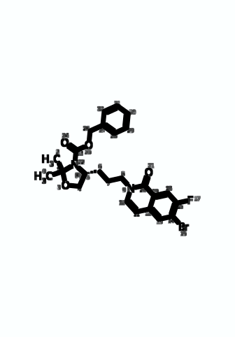 CC1(C)OC[C@@H](CCCn2ccc3cc(Br)c(F)cc3c2=O)N1C(=O)OCc1ccccc1